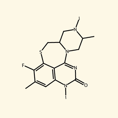 Cc1cc2c3c(nc(=O)n2I)N2CC(C)N(I)CC2CSc3c1F